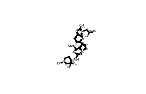 CCN1CC[C@H](Nc2nc(NC)c3c(-c4ccc5nc(C)n(CC(F)F)c5n4)ccn3n2)C(F)(F)C1